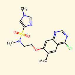 COc1cc2c(Cl)ncnc2cc1OCCN(C)S(=O)(=O)c1cn(C)cn1